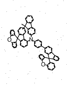 CC1(C)c2ccccc2-c2ccc(N(c3ccc(-c4ccc5c(c4)C4(c6ccccc6Oc6ccccc64)c4ccccc4-5)cc3)c3cccc4c3-c3ccccc3C43c4ccccc4Oc4ccccc43)cc21